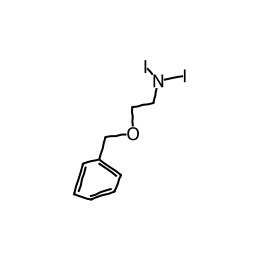 IN(I)CCOCc1ccccc1